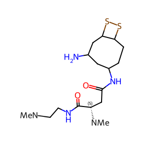 CNCCNC(=O)[C@H](CC(=O)NC1CCC2SSC2CC(N)C1)NC